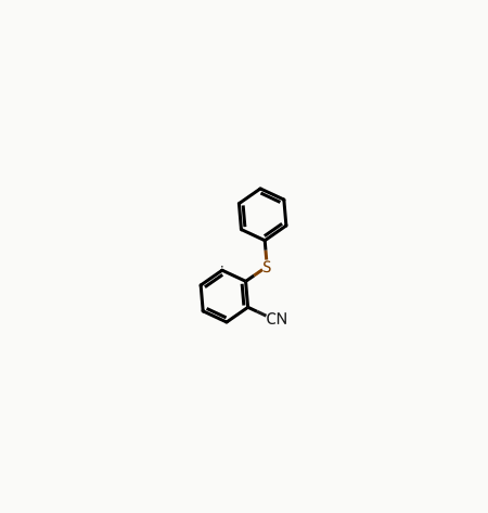 N#Cc1ccc[c]c1Sc1ccccc1